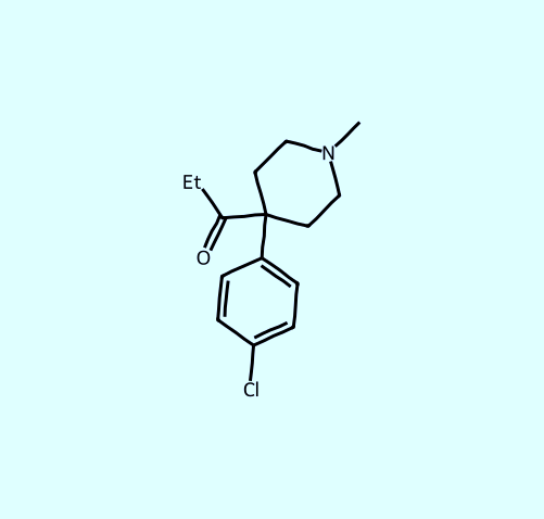 CCC(=O)C1(c2ccc(Cl)cc2)CCN(C)CC1